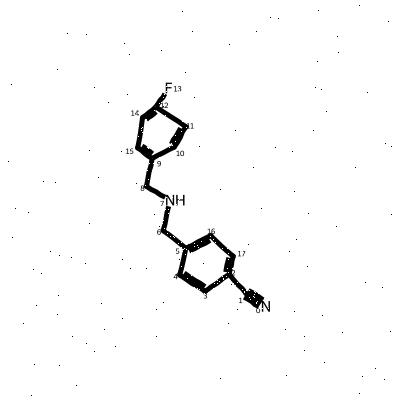 N#Cc1ccc(CNCc2ccc(F)cc2)cc1